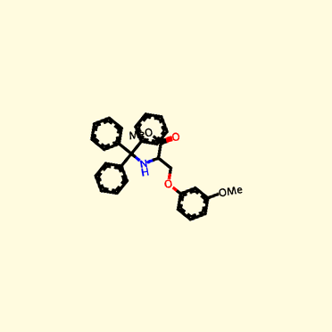 COC(=O)C(COc1cccc(OC)c1)NC(c1ccccc1)(c1ccccc1)c1ccccc1